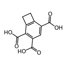 O=C(O)c1cc(C(=O)O)c(C(=O)O)c2c1CC2